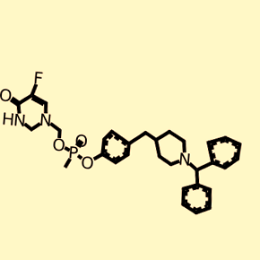 CP(=O)(OCN1C=C(F)C(=O)NC1)Oc1ccc(CC2CCN(C(c3ccccc3)c3ccccc3)CC2)cc1